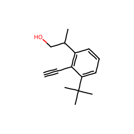 C#Cc1c([C](C)CO)cccc1C(C)(C)C